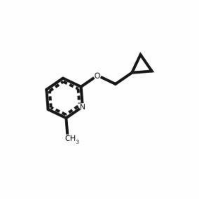 Cc1cccc(OCC2CC2)n1